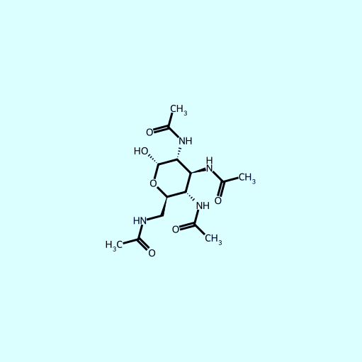 CC(=O)NC[C@H]1O[C@H](O)[C@H](NC(C)=O)[C@@H](NC(C)=O)[C@@H]1NC(C)=O